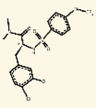 CN(C)C(=O)[C@H](Cc1ccc(Cl)c(Cl)c1)NS(=O)(=O)c1ccc(OC(F)(F)F)cc1